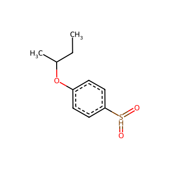 CCC(C)Oc1ccc([SH](=O)=O)cc1